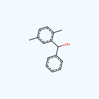 Cc1ccc(C)c(C(O)c2ccccc2)c1